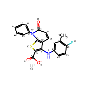 Cc1cc(Nc2c(C(=O)[O-])sc3c2ccc(=O)n3-c2ccccc2)ccc1F.[Li+]